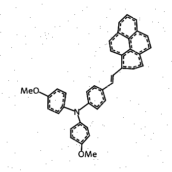 COc1ccc(N(c2ccc(C=Cc3ccc4ccc5cccc6ccc3c4c56)cc2)c2ccc(OC)cc2)cc1